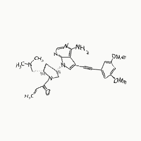 C=CC(=O)N1C[C@@H](n2cc(C#Cc3cc(OC)cc(OC)c3)c3c(N)ncnc32)C[C@H]1CN(C)C